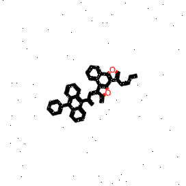 C=C/C=C\c1coc2c3ccccc3c3/c(=C/C(=C)c4c5ccccc5c(-c5ccccc5)c5ccccc45)c(=C)oc3c12